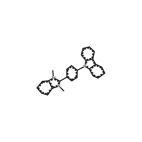 Cn1c(-c2ccc(-n3c4ccccc4c4ccccc43)cc2)[n+](C)c2ccccc21